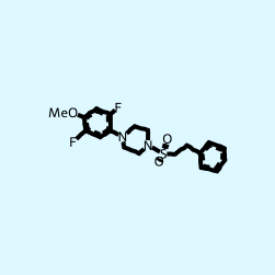 COc1cc(F)c(N2CCN(S(=O)(=O)CCc3ccccc3)CC2)cc1F